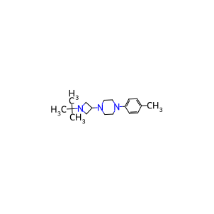 Cc1ccc(N2CCN(C3CN(C(C)(C)C)C3)CC2)cc1